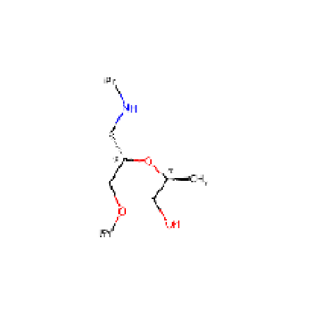 CC(C)NC[C@@H](COC(C)C)O[C@@H](C)CO